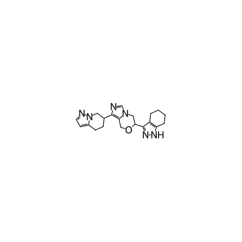 c1cc2n(n1)CC(c1ncn3c1COC(c1n[nH]c4c1CCCC4)C3)CC2